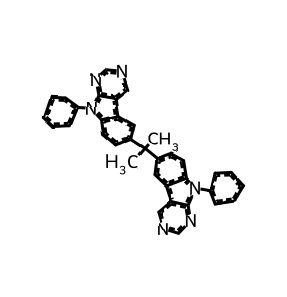 CC(C)(c1ccc2c(c1)c1cncnc1n2-c1ccccc1)c1ccc2c(c1)c1cncnc1n2-c1ccccc1